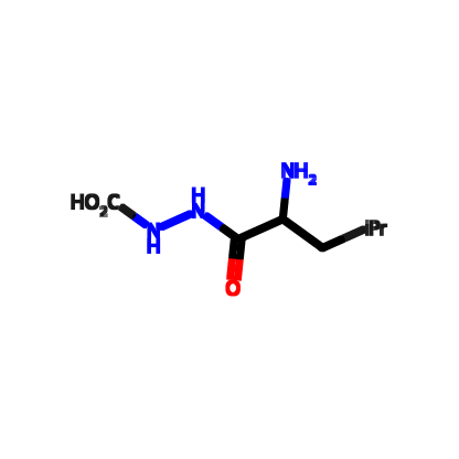 CC(C)CC(N)C(=O)NNC(=O)O